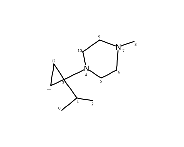 CC(C)C1(N2CCN(C)CC2)CC1